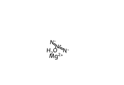 O.[Mg+2].[N-]=[N+]=[N-]